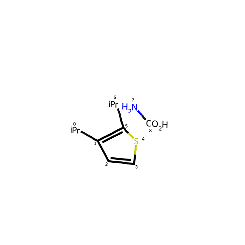 CC(C)c1ccsc1C(C)C.NC(=O)O